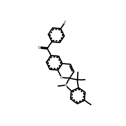 Cc1ccc2c(c1)C(C)(C)C1(C=Cc3cc(C(=O)c4ccc(F)cc4)ccc3O1)N2C